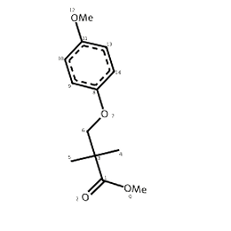 COC(=O)C(C)(C)COc1ccc(OC)cc1